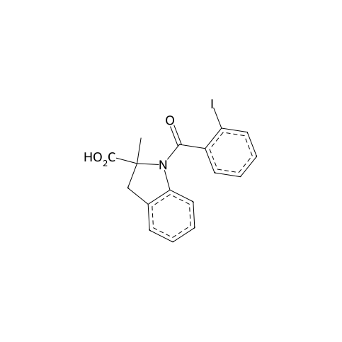 CC1(C(=O)O)Cc2ccccc2N1C(=O)c1ccccc1I